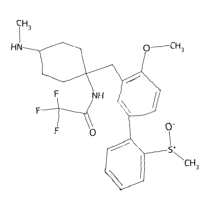 CNC1CCC(Cc2cc(-c3ccccc3[S+](C)[O-])ccc2OC)(NC(=O)C(F)(F)F)CC1